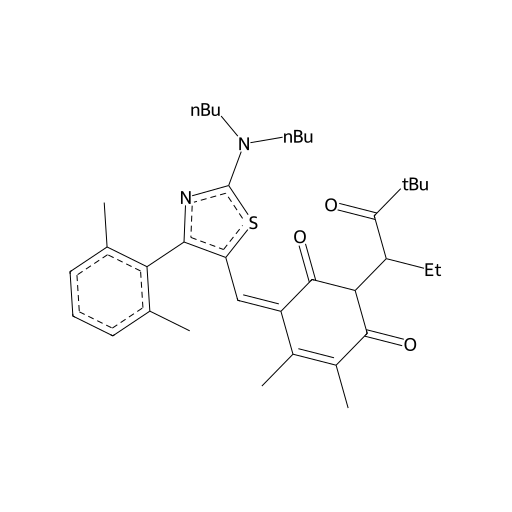 CCCCN(CCCC)c1nc(-c2c(C)cccc2C)c(/C=C2\C(=O)C(C(CC)C(=O)C(C)(C)C)C(=O)C(C)=C2C)s1